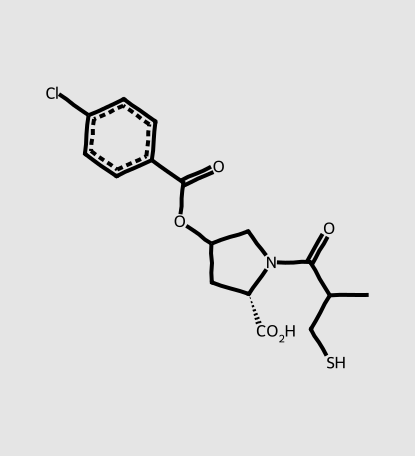 CC(CS)C(=O)N1CC(OC(=O)c2ccc(Cl)cc2)C[C@H]1C(=O)O